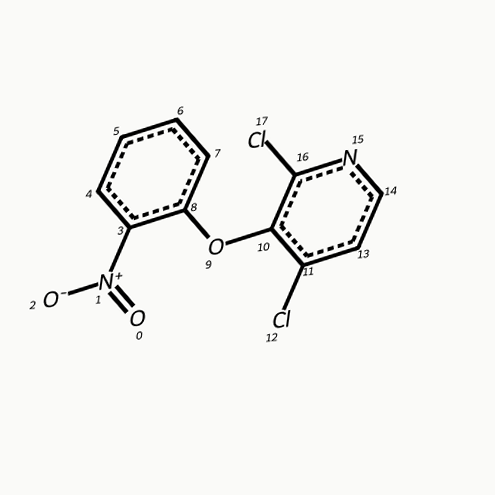 O=[N+]([O-])c1ccccc1Oc1c(Cl)ccnc1Cl